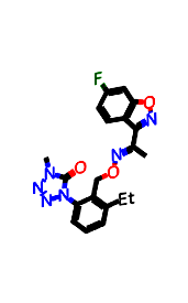 CCc1cccc(-n2nnn(C)c2=O)c1CON=C(C)c1noc2cc(F)ccc12